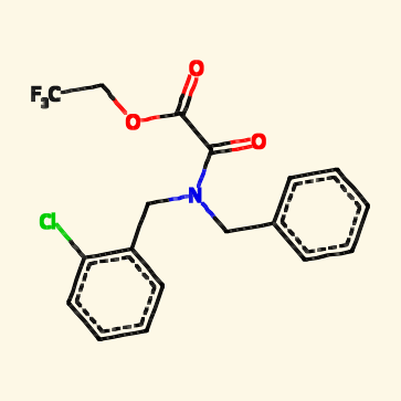 O=C(OCC(F)(F)F)C(=O)N(Cc1ccccc1)Cc1ccccc1Cl